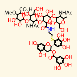 COC1C(C(=O)O)OC(OC2C(O)C(CO)OC(OC3C(C(=O)NCCSc4c([C@H]5Oc6cc(O)cc(O)c6C[C@H]5OC(=O)c5cc(O)c(O)c(O)c5)cc(O)c(O)c4O)OC(OC4C(O)C(CO)OC(C)C4NC(C)=O)C(O)C3O)C2NC(C)=O)C(O)C1O